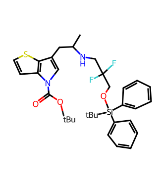 CC(Cc1cn(C(=O)OC(C)(C)C)c2ccsc12)NCC(F)(F)CO[Si](c1ccccc1)(c1ccccc1)C(C)(C)C